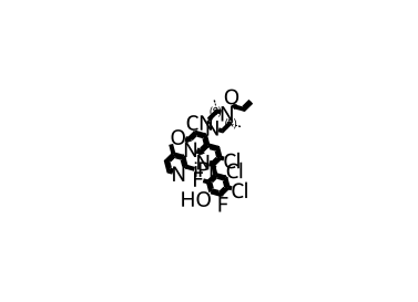 C=CC(=O)N1[C@H](C)CN(c2c(C#N)c(=O)n(-c3c(C)ccnc3C(C)C)c3nc(-c4c(F)c(O)c(F)c(Cl)c4Cl)c(Cl)cc23)C[C@@H]1C